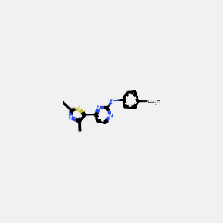 Cc1nc(C)c(-c2ccnc(Nc3ccc(C(=O)O)cc3)n2)s1